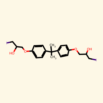 CC(C)(c1ccc(OCC(O)CI)cc1)c1ccc(OCC(O)CI)cc1